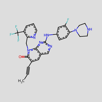 CC#Cc1cc2cnc(Nc3ccc(N4CCNCC4)c(F)c3)nc2n(Cc2ncccc2C(F)(F)F)c1=O